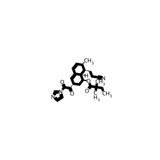 CCC(C)(C)C(=O)O[C@H]1C[C@H](C(=O)C(=O)n2ccnc2)C=C2C=C[C@H](C)[C@H](CCC#N)[C@H]21